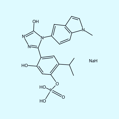 CC(C)c1cc(-c2nnc(O)n2-c2ccc3c(ccn3C)c2)c(O)cc1OP(=O)(O)O.[NaH]